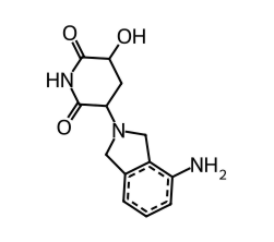 Nc1cccc2c1CN(C1CC(O)C(=O)NC1=O)C2